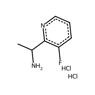 CC(N)c1ncccc1F.Cl.Cl